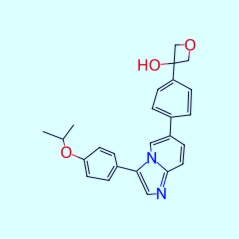 CC(C)Oc1ccc(-c2cnc3ccc(-c4ccc(C5(O)COC5)cc4)cn23)cc1